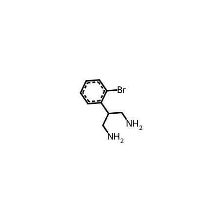 NCC(CN)c1ccccc1Br